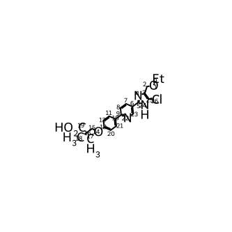 CCOCc1nc(-c2ccc(-c3ccc(OCC(C)(C)C(=O)O)cc3)nc2)[nH]c1Cl